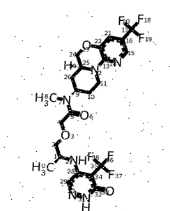 C[C@@H](COCC(=O)N(C)[C@H]1CCN2c3ncc(C(F)(F)F)cc3OC[C@@H]2C1)Nc1cn[nH]c(=O)c1C(F)(F)F